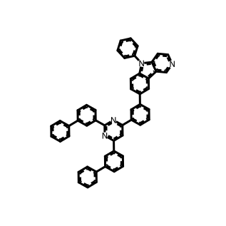 c1ccc(-c2cccc(-c3cc(-c4cccc(-c5ccc6c(c5)c5cnccc5n6-c5ccccc5)c4)nc(-c4cccc(-c5ccccc5)c4)n3)c2)cc1